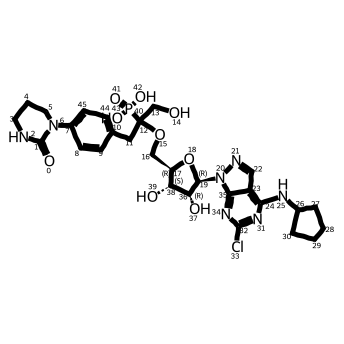 O=C1NCCCN1c1ccc(CC(CO)(OC[C@H]2O[C@@H](n3ncc4c(NC5CCCC5)nc(Cl)nc43)[C@H](O)[C@@H]2O)P(=O)(O)O)cc1